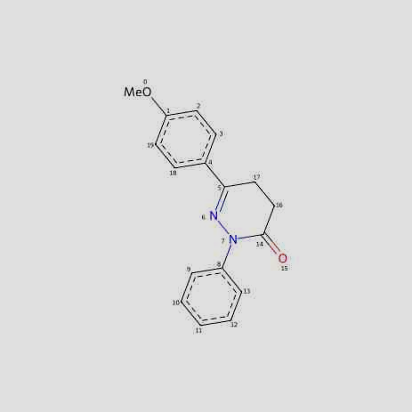 COc1ccc(C2=NN(c3ccccc3)C(=O)CC2)cc1